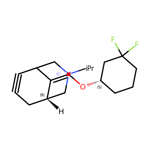 CC(C)N1CC2C#CC[C@@H](C1)/C2=C\O[C@H]1CCCC(F)(F)C1